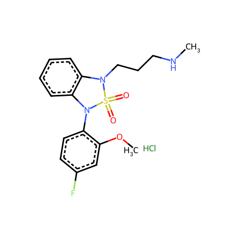 CNCCCN1c2ccccc2N(c2ccc(F)cc2OC)S1(=O)=O.Cl